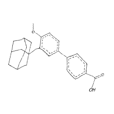 COc1ccc(-c2ccc(C(=O)O)cc2)cc1C12CC3CC(CC(C3)C1)C2